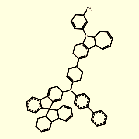 CC1C=C(N2C3=C(C=C(C4CC=C(N(c5ccc(-c6ccccc6)cc5)C5C=C6C(=CC5)c5ccccc5C65C6C=CC=CC6C6C=CCCC65)CC4)CC3)C3C=CC=CCC32)C=CC1